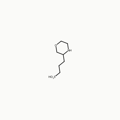 O=S(=O)(O)CCCC1COCCN1